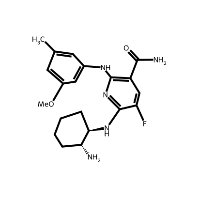 COc1cc(C)cc(Nc2nc(N[C@@H]3CCCC[C@H]3N)c(F)cc2C(N)=O)c1